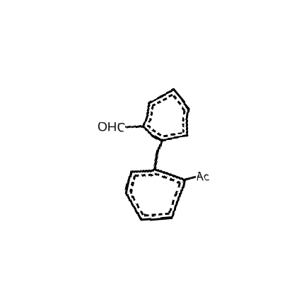 CC(=O)c1ccccc1-c1ccccc1C=O